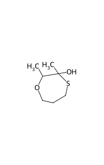 CC1OCCCSC1(C)O